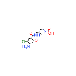 COc1cc(N)c(Cl)cc1C(=O)NCC1CCN(C(=O)O)CC1